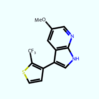 COc1cnc2[nH]cc(-c3ccsc3C(F)(F)F)c2c1